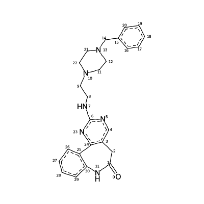 O=C1Cc2cnc(NCCN3CCN(Cc4ccccc4)CC3)nc2-c2ccccc2N1